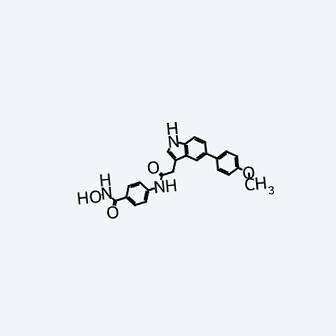 COc1ccc(-c2ccc3[nH]cc(CC(=O)Nc4ccc(C(=O)NO)cc4)c3c2)cc1